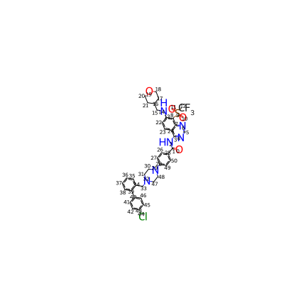 O=C(Nc1ncnc2c(S(=O)(=O)C(F)(F)F)c(NCC3CCOCC3)ccc12)c1ccc(N2CCN(Cc3ccccc3-c3ccc(Cl)cc3)CC2)cc1